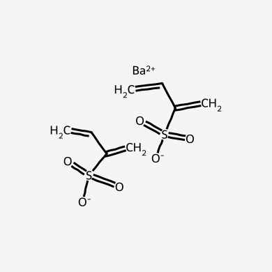 C=CC(=C)S(=O)(=O)[O-].C=CC(=C)S(=O)(=O)[O-].[Ba+2]